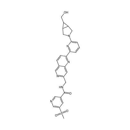 CS(=O)(=O)c1cncc(C(=O)NCc2cc3nc(-c4cccc(N5CC6C(CO)C6C5)n4)ccc3cn2)c1